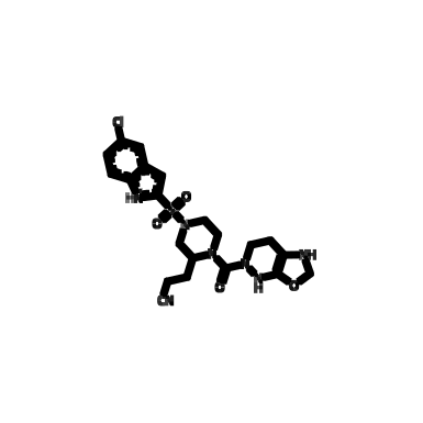 N#CCCC1CN(S(=O)(=O)c2cc3cc(Cl)ccc3[nH]2)CCN1C(=O)N1CCC2=C(N1)OCN2